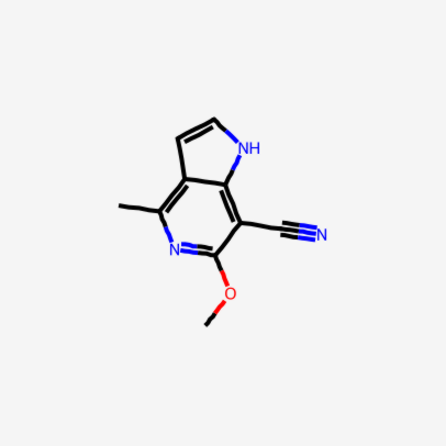 COc1nc(C)c2cc[nH]c2c1C#N